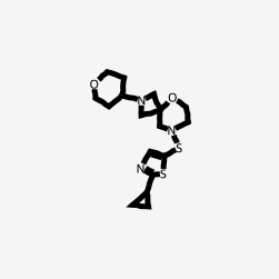 c1nc(C2CC2)sc1SN1CCOC2(C1)CN(C1CCOCC1)C2